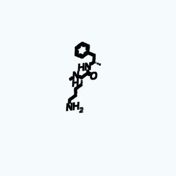 CN[C@@H](CCCCN)C(=O)N[C@@H](C)Cc1ccccc1